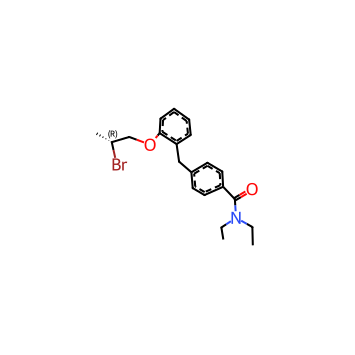 CCN(CC)C(=O)c1ccc(Cc2ccccc2OC[C@@H](C)Br)cc1